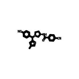 Cc1csc(C(c2ccc(C#N)cc2)N2CC[C@@H](NC(=O)c3ccc(C#N)cc3)C2)c1